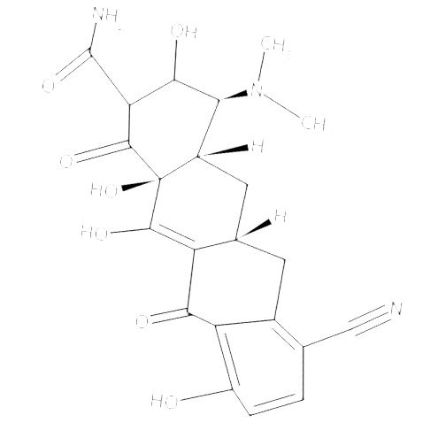 CN(C)[C@@H]1C(O)C(C(N)=O)C(=O)[C@@]2(O)C(O)=C3C(=O)c4c(O)ccc(C#N)c4C[C@H]3C[C@@H]12